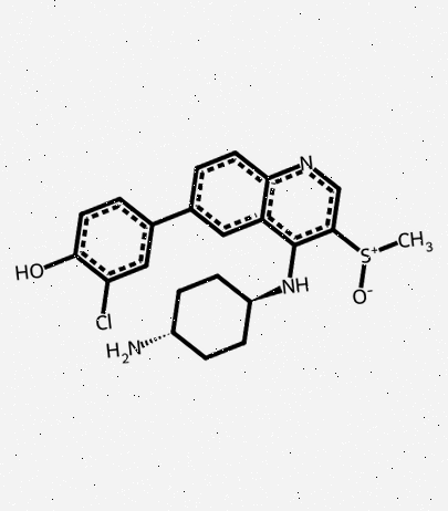 C[S+]([O-])c1cnc2ccc(-c3ccc(O)c(Cl)c3)cc2c1N[C@H]1CC[C@H](N)CC1